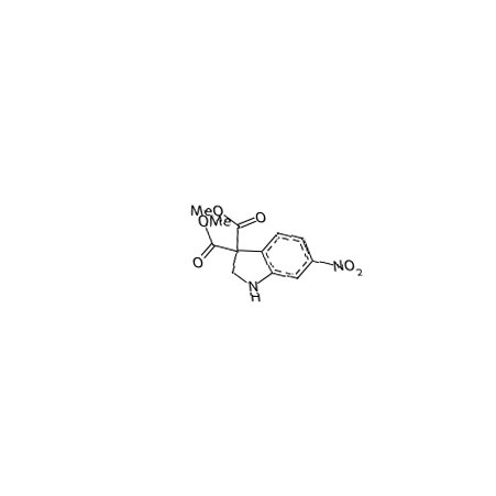 COC(=O)C1(C(=O)OC)CNc2cc([N+](=O)[O-])ccc21